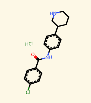 Cl.O=C(Nc1ccc(C2CCCNC2)cc1)c1ccc(Cl)cc1